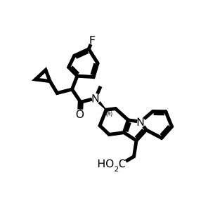 CN(C(=O)C(CC1CC1)c1ccc(F)cc1)[C@@H]1CCc2c(CC(=O)O)c3ccccn3c2C1